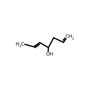 C=CCC(O)C=CC